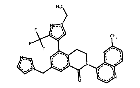 CCn1cc(-c2cc(Cn3ccnc3)cc3c2CCN(c2ccnc4ccc(C)cc24)C3=O)c(C(F)(F)F)n1